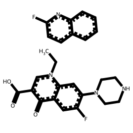 CCn1cc(C(=O)O)c(=O)c2cc(F)c(N3CCNCC3)cc21.Fc1ccc2ccccc2n1